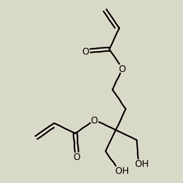 C=CC(=O)OCCC(CO)(CO)OC(=O)C=C